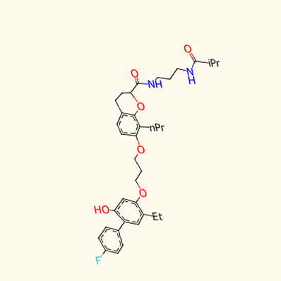 CCCc1c(OCCCOc2cc(O)c(-c3ccc(F)cc3)cc2CC)ccc2c1OC(C(=O)NCCCNC(=O)C(C)C)CC2